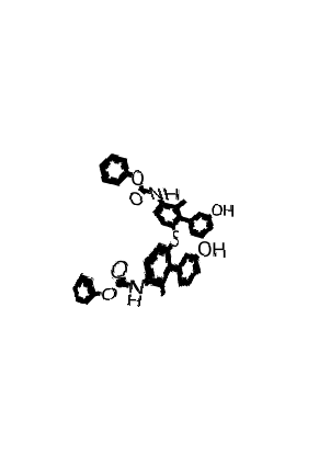 Cc1c(NC(=O)Oc2ccccc2)ccc(Sc2ccc(NC(=O)Oc3ccccc3)c(C)c2-c2cccc(O)c2)c1-c1cccc(O)c1